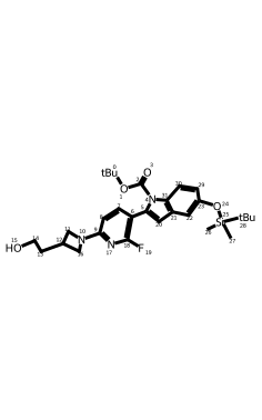 CC(C)(C)OC(=O)n1c(-c2ccc(N3CC(CCO)C3)nc2F)cc2cc(O[Si](C)(C)C(C)(C)C)ccc21